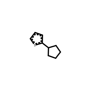 c1csc(C2CCCC2)c1